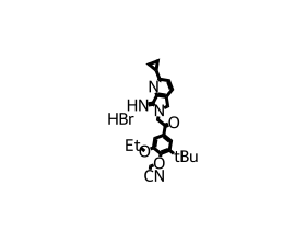 Br.CCOc1cc(C(=O)CN2Cc3ccc(C4CC4)nc3C2=N)cc(C(C)(C)C)c1OCC#N